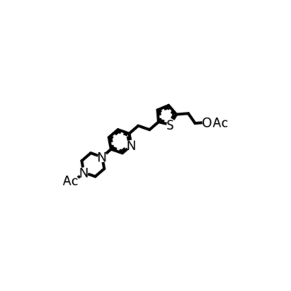 CC(=O)OCCc1ccc(CCc2ccc(N3CCN(C(C)=O)CC3)cn2)s1